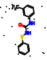 O=C(NSc1ccccc1)Nc1cccc(C(F)(F)F)c1